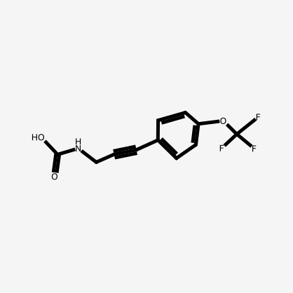 O=C(O)NCC#Cc1ccc(OC(F)(F)F)cc1